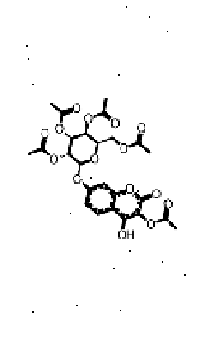 CC(=O)OC[C@H]1O[C@@H](Oc2ccc3c(O)c(OC(C)=O)c(=O)oc3c2)[C@H](OC(C)=O)[C@@H](OC(C)=O)[C@H]1OC(C)=O